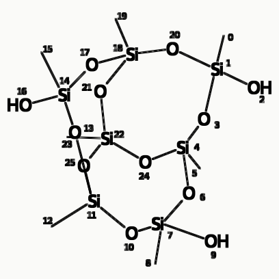 C[Si]1(O)O[Si]2(C)O[Si](C)(O)O[Si]3(C)O[Si](C)(O)O[Si](C)(O1)O[Si](C)(O2)O3